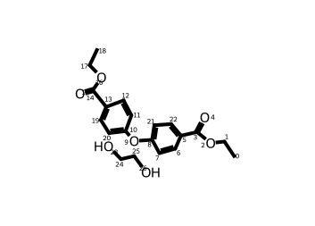 CCOC(=O)c1ccc(Oc2ccc(C(=O)OCC)cc2)cc1.OCCO